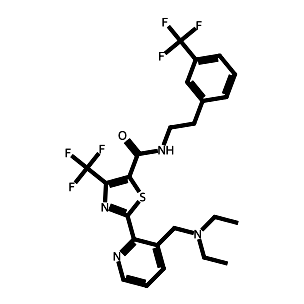 CCN(CC)Cc1cccnc1-c1nc(C(F)(F)F)c(C(=O)NCCc2cccc(C(F)(F)F)c2)s1